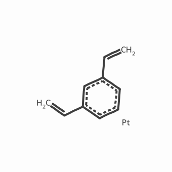 C=Cc1cccc(C=C)c1.[Pt]